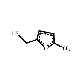 FC(F)(F)c1ccc(CS)o1